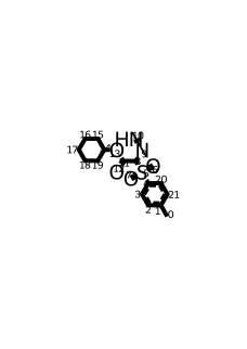 Cc1ccc(S(=O)(=O)C(N=N)C(=O)OC2CCCCC2)cc1